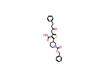 O=C(CCc1ccccc1)Cc1csc(C2CCCN(C(=O)OCc3ccccc3)C2)c1C(=O)O